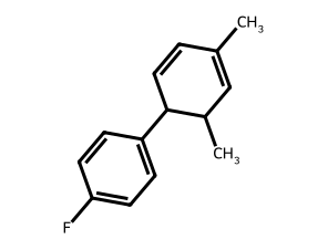 CC1=CC(C)C(c2ccc(F)cc2)C=C1